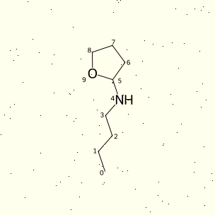 CCCCN[C]1CCCO1